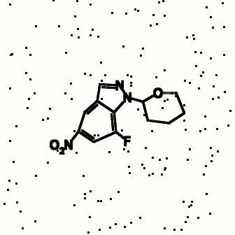 O=[N+]([O-])c1cc(F)c2c(cnn2C2CCCCO2)c1